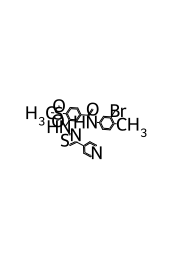 Cc1ccc(NC(=O)c2ccc(S(C)(=O)=O)c(Nc3nc(-c4ccncc4)cs3)c2)cc1Br